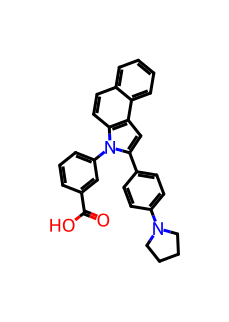 O=C(O)c1cccc(-n2c(-c3ccc(N4CCCC4)cc3)cc3c4ccccc4ccc32)c1